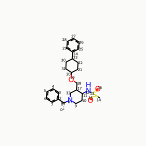 C[C@H](c1ccccc1)N1CCC(NS(C)(=O)=O)C(COC2CCC(c3ccccc3)CC2)C1